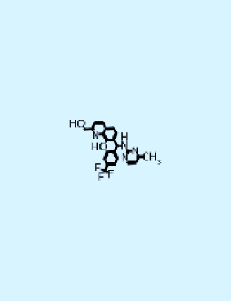 Cc1ccnc(N[C@H](c2ccc(C(F)(F)F)cc2)c2ccc3ccc(CO)nc3c2O)n1